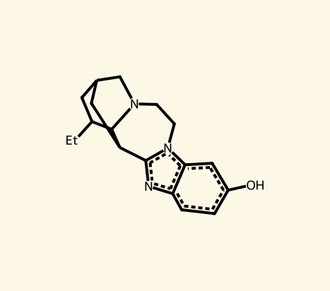 CCC1CC2CC3c4nc5ccc(O)cc5n4CCN(C2)C13